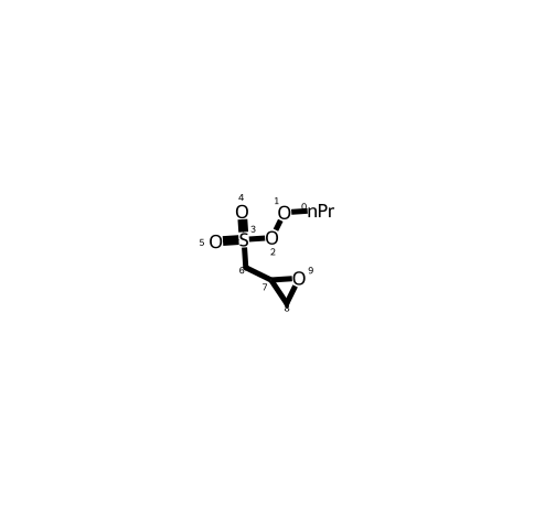 CCCOOS(=O)(=O)CC1CO1